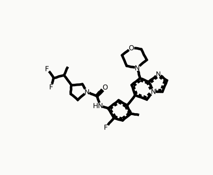 Cc1cc(F)c(NC(=O)N2CCC(C(C)C(F)F)C2)cc1-c1cc(N2CCOCC2)c2nccn2c1